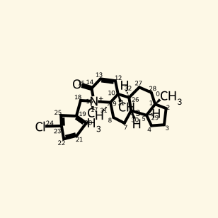 C[C@@]12CCC[C@H]1[C@@H]1CC[C@@H]3[C@](C)(C=CC(=O)[N+]3(C)Cc3cccc(Cl)c3)[C@H]1CC2